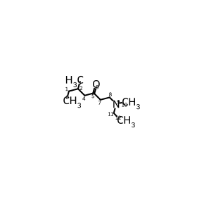 CCC(C)CC(=O)CCN(C)CC